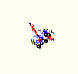 CN(C)c1cccc2c(S(=O)(=O)Nc3cccc(-c4cnc(NCCOCCOCCOCCI)nc4N4CCC(c5ccccc5)C4(C)C(N)=O)c3)cccc12